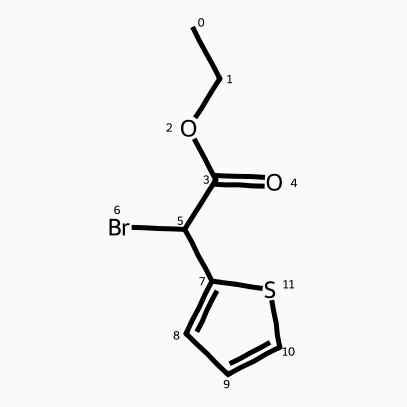 CCOC(=O)C(Br)c1cccs1